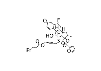 CC(C)CCC(=O)OCC#CCSC(=O)[C@@]1(OC(=O)c2ccco2)[C@H](C)C[C@H]2[C@@H]3C[C@H](F)C4=CC(=O)C=C[C@]4(C)[C@@]3(F)[C@@H](O)C[C@@]21C